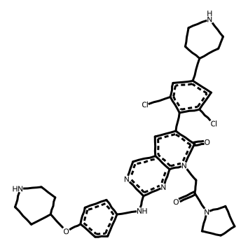 O=C(Cn1c(=O)c(-c2c(Cl)cc(C3CCNCC3)cc2Cl)cc2cnc(Nc3ccc(OC4CCNCC4)cc3)nc21)N1CCCC1